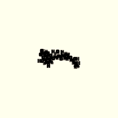 CC1=C(C(=O)O)C(c2cccc([N+](=O)[O-])c2)C(C(=O)OCCCC(=O)Nc2ccc(OCC(O)CNC(C)C)cc2)=C(C)N1.O